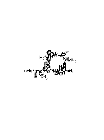 CCCCCCC[C@@H](O)CC(=O)N[C@H](CCN)C(=O)N[C@H]1CCNC(=O)[C@H]([C@@H](C)O)NC(=O)[C@H](CCN)NC[C@H](CCN)NC(=O)[C@H](CC(C)C)NC(=O)[C@@H](Cc2ccccc2)NC(=O)[C@H](CCN)NC1=O